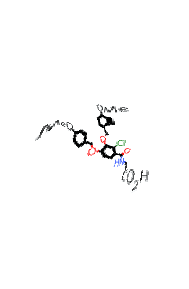 COc1ccc(COc2ccc(C(=O)NCC(=O)O)c(Cl)c2OCc2ccc(OC)cc2)cc1